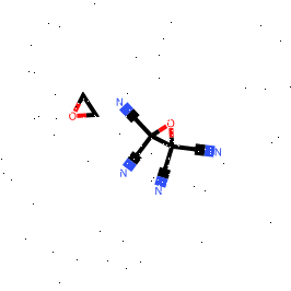 C1CO1.N#CC1(C#N)OC1(C#N)C#N